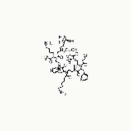 CC(O)C(N)C(=O)NCCN(C(=O)CCS)C(Cc1cccnc1)C(=O)NCCN(C(=O)CCCCCN)C(Cc1cnc[nH]1)C(=O)NCCN(C(=O)CCCCNC(=N)N)C(CCCCN)C(N)=O